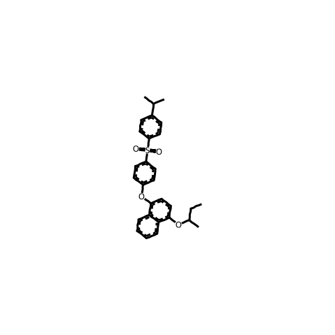 CCC(C)Oc1ccc(Oc2ccc(S(=O)(=O)c3ccc(C(C)C)cc3)cc2)c2ccccc12